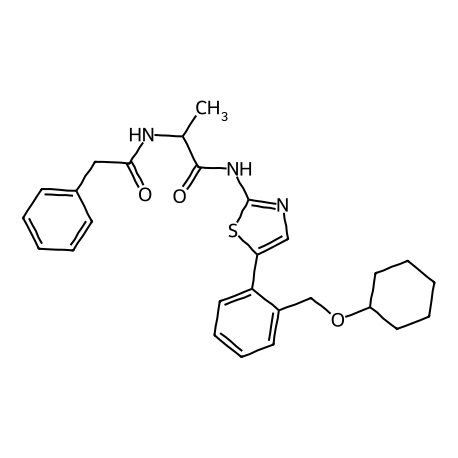 CC(NC(=O)Cc1ccccc1)C(=O)Nc1ncc(-c2ccccc2COC2CCCCC2)s1